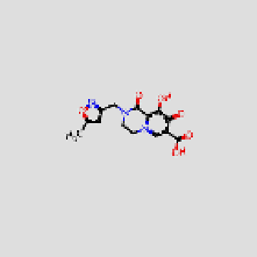 Cc1cc(CN2CCn3cc(C(=O)O)c(=O)c(O)c3C2=O)no1